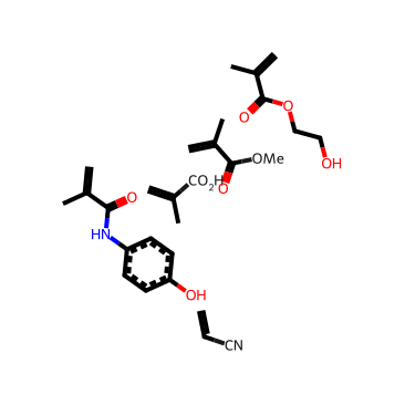 C=C(C)C(=O)Nc1ccc(O)cc1.C=C(C)C(=O)O.C=C(C)C(=O)OC.C=C(C)C(=O)OCCO.C=CC#N